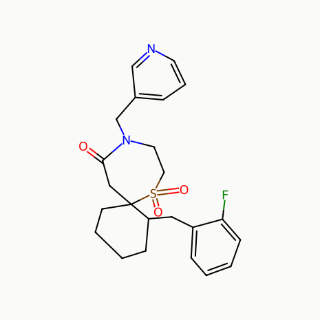 O=C1CC2(CCCCC2Cc2ccccc2F)S(=O)(=O)CCN1Cc1cccnc1